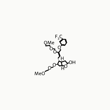 COCCOCO/C(=C\C[C@@H]1[C@H]2CC(O)O[C@H]2C[C@H]1OCOCCOC)COc1cccc(C(F)(F)F)c1